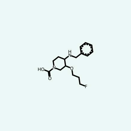 O=C(O)N1CCC(NCc2ccccc2)C(OCCCF)C1